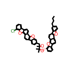 CCCCc1ccc2oc3c(ccc4c3ccc3c5cccc(B6OC(C)(C)C(C)(Cc7ccc8c(c7)oc7c8ccc8c7ccc7c9cccc(Cl)c9oc78)O6)c5oc34)c2c1